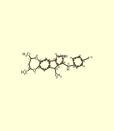 CC1CC(C)Oc2cc3c(cc2O1)-c1n[nH]c(Nc2ccc(F)cc2)c1C3C